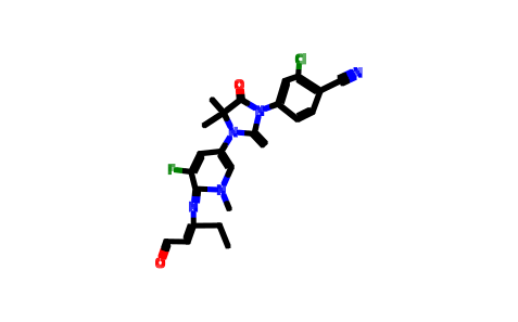 C=C1N(c2ccc(C#N)c(Cl)c2)C(=O)C(C)(C)N1c1cc(F)/c(=N/C(=C\C=O)CC)n(C)c1